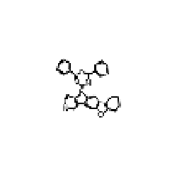 c1ccc(-c2nc(-c3ccccc3)nc(-n3c4ccncc4c4cc5oc6c(c5cc43)CCCC6)n2)cc1